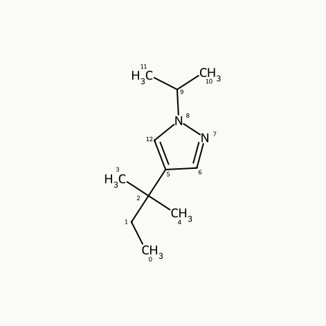 CCC(C)(C)c1cnn(C(C)C)c1